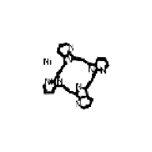 [Ni].c1cnc2c(c1)-c1cc3[nH]c(cc4nc(cc5[nH]c(cc-2n1)c1cccnc51)-c1cccnc1-4)c1cccnc31